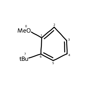 COc1ccccc1C(C)(C)C